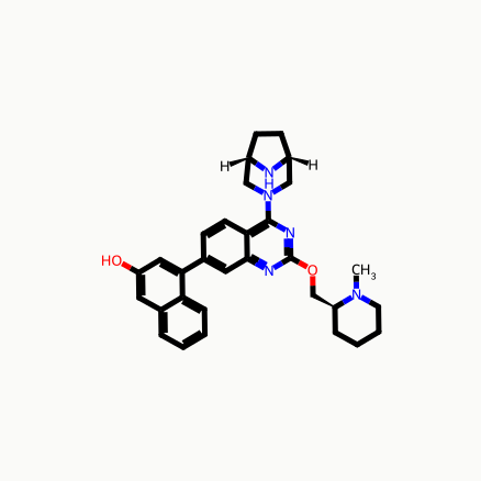 CN1CCCC[C@H]1COc1nc(N2C[C@H]3CC[C@@H](C2)N3)c2ccc(-c3cc(O)cc4ccccc34)cc2n1